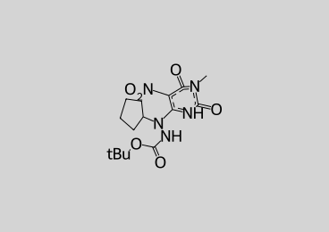 Cn1c(=O)[nH]c(N(NC(=O)OC(C)(C)C)C2CCCC2)c([N+](=O)[O-])c1=O